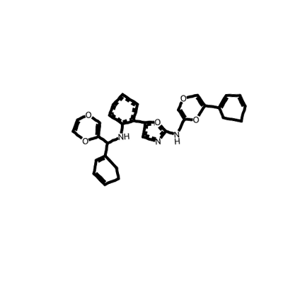 C1=CCCC(C2=COC=C(Nc3ncc(-c4ccccc4NC(C4=CC=CCC4)C4=COC=CO4)o3)O2)=C1